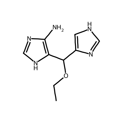 CCOC(c1c[nH]cn1)c1[nH]cnc1N